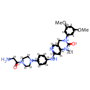 CCN1C(=O)N(c2cc(OC)cc(OC)c2)Cc2cnc(Nc3ccc(N4CCN(C(=O)CN)CC4)cc3)cc21